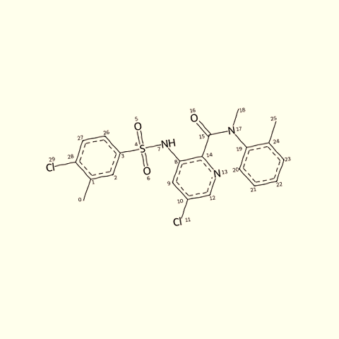 Cc1cc(S(=O)(=O)Nc2cc(Cl)cnc2C(=O)N(C)c2ccccc2C)ccc1Cl